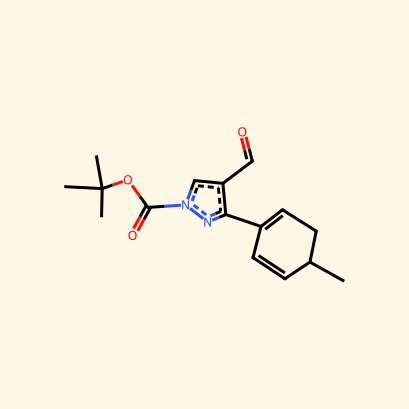 CC1C=CC(c2nn(C(=O)OC(C)(C)C)cc2C=O)=CC1